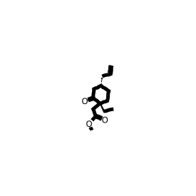 C=CC[C@@H]1CC[C@](CC)(CC(=O)OC)C(=O)C1